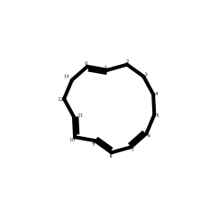 [C]1=C/CCCC\C=C/C=C/C=C/CC/1